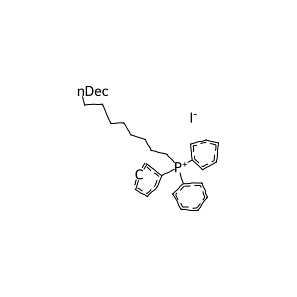 CCCCCCCCCCCCCCCCCC[P+](c1ccccc1)(c1ccccc1)c1ccccc1.[I-]